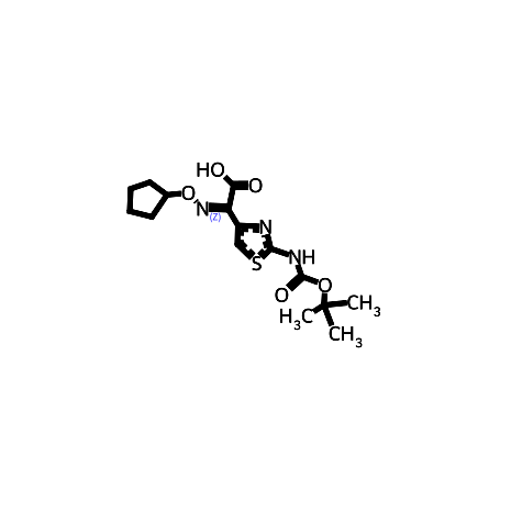 CC(C)(C)OC(=O)Nc1nc(/C(=N/OC2CCCC2)C(=O)O)cs1